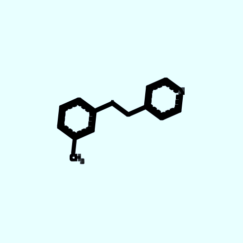 Cc1cccc([CH]Cc2ccncc2)c1